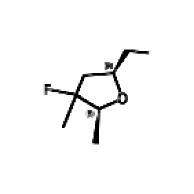 CC[C@@H]1CC(C)(F)[C@H](C)O1